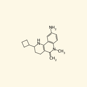 C=C1C2=C(NC(C3CCC3)CC2)c2cc(N)ccc2N1C